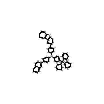 C1=CC=Cc2c(sc3ccc(-c4ccc(N(c5ccc(-c6ccc7ccccc7c6)cc5)c5ccc(C6(c7ccccc7)c7c#cccc7-c7ccccc76)cc5)cc4)cc23)C=1